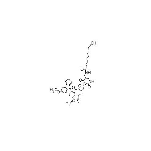 C#CCCCCCCCCC(=O)NCc1c[nH]c(=O)n(C2CC([CH]CC#N)C(COC(c3ccccc3)(c3ccc(OC)cc3)c3ccc(OC)cc3)O2)c1=O